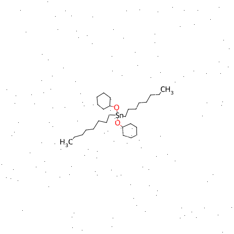 CCCCCCC[CH2][Sn]([CH2]CCCCCCC)([O]C1CCCCC1)[O]C1CCCCC1